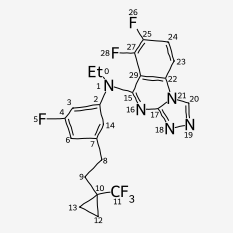 CCN(c1cc(F)cc(CCC2(C(F)(F)F)CC2)c1)c1nc2nncn2c2ccc(F)c(F)c12